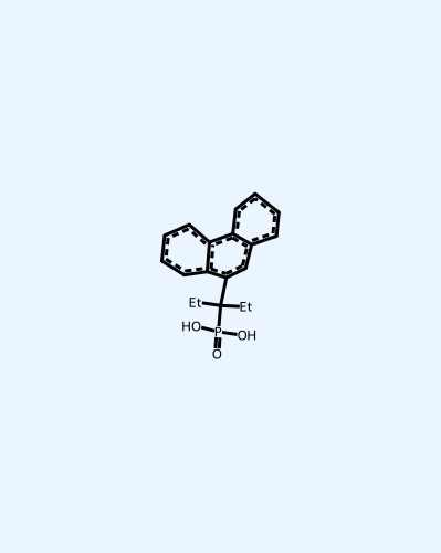 CCC(CC)(c1cc2ccccc2c2ccccc12)P(=O)(O)O